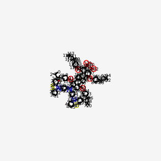 C=C(C)CC(C)(C)c1ccc(Oc2cc(N(c3ccc(N4c5ccccc5Sc5ccccc54)cc3)c3ccc(N4c5ccccc5Sc5ccccc54)cc3)c3ccc(Oc4ccc(C(C)(C)CC(C)(C)C)cc4)c4c5ccc6c7c(Oc8ccc(C(C)(C)CC(C)(C)C)cc8)cc8c9c(cc(Oc%10ccc(C(C)(C)CC(C)(C)C)cc%10)c(c%10ccc(c2c34)c5c6%10)c97)C(=O)OC8=O)cc1